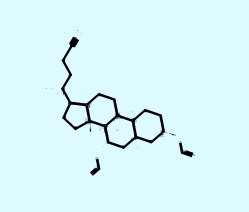 C[C@H](CCC#N)C1CC[C@H]2[C@@H]3[C@@H](OC=O)C[C@@H]4C[C@H](OC=O)CC[C@]4(C)[C@H]3CC[C@]12C